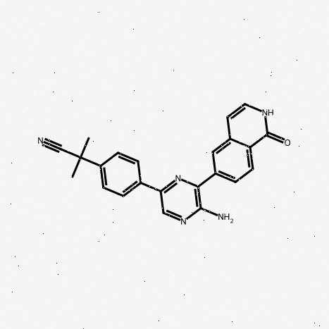 CC(C)(C#N)c1ccc(-c2cnc(N)c(-c3ccc4c(=O)[nH]ccc4c3)n2)cc1